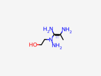 C/C(N)=C(/N)N(N)CCO